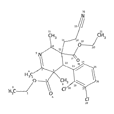 CCOC(=O)C1(C)C(C)=NC(C)C(CCC#N)(C(=O)OCC)C1c1cccc(Cl)c1Cl